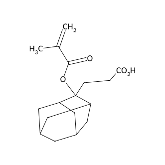 C=C(C)C(=O)OC1(CCC(=O)O)C2CC3CC(C2)CC1C3